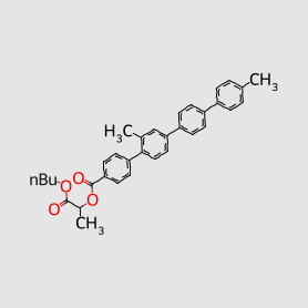 CCCCOC(=O)C(C)OC(=O)c1ccc(-c2ccc(-c3ccc(-c4ccc(C)cc4)cc3)cc2C)cc1